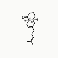 CC(C)=CCCC1=CC[C@H]2C(=O)CCC[C@H]2C1